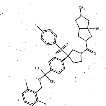 CN1CC2CN(C(=O)N3CC[C@](c4ccc(C(OCc5c(F)cccc5F)(C(F)(F)F)C(F)(F)F)cc4)(S(=O)(=O)c4ccc(F)cc4)C3)C[C@]2(N)C1